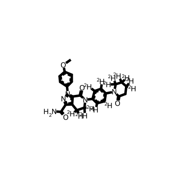 [2H]c1c([2H])c(N2C(=O)CC([2H])([2H])C([2H])([2H])C2([2H])[2H])c([2H])c([2H])c1N1C(=O)c2c(c(C(N)=O)nn2-c2ccc(OC)cc2)C([2H])([2H])C1([2H])[2H]